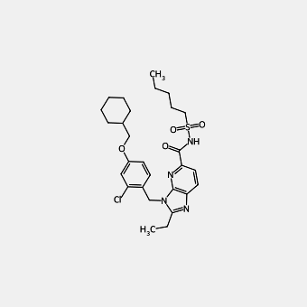 CCCCCS(=O)(=O)NC(=O)c1ccc2nc(CC)n(Cc3ccc(OCC4CCCCC4)cc3Cl)c2n1